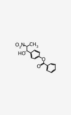 C[C@@H]([C@@H](O)c1ccc(OC(=O)c2ccccc2)cc1)[N+](=O)[O-]